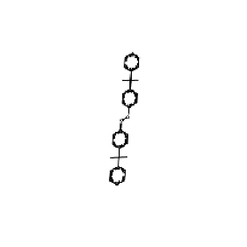 CC(C)(c1ccccc1)c1ccc(SSc2ccc(C(C)(C)c3ccccc3)cc2)cc1